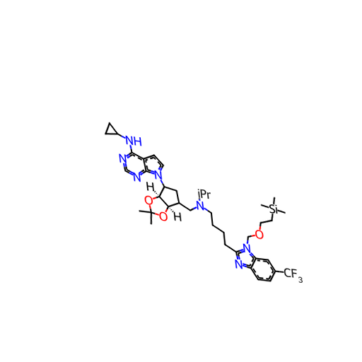 CC(C)N(CCCCc1nc2ccc(C(F)(F)F)cc2n1COCC[Si](C)(C)C)CC1CC(n2ccc3c(NC4CC4)ncnc32)[C@@H]2OC(C)(C)O[C@H]12